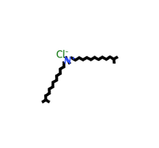 CC(C)CCCCCCCCCCC[N+](C)(C)CCCCCCCCCCCC(C)C.[Cl-]